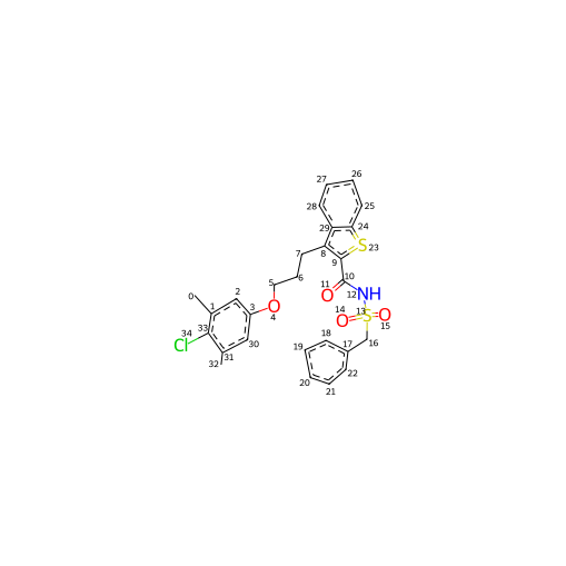 Cc1cc(OCCCc2c(C(=O)NS(=O)(=O)Cc3ccccc3)sc3ccccc23)cc(C)c1Cl